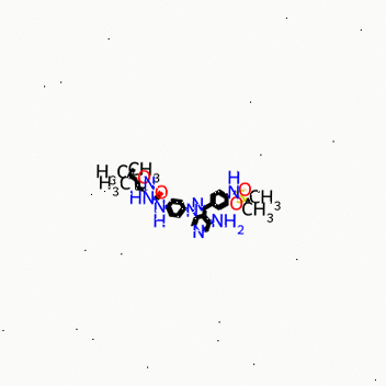 CC(C)S(=O)(=O)Nc1ccc(-c2nn(-c3ccc(NC(=O)Nc4cc(C(C)(C)C)on4)cc3)c3cncc(N)c23)cc1